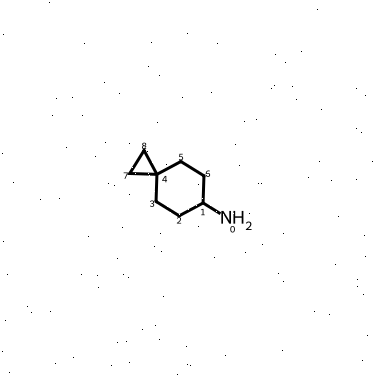 NC1CCC2(CC1)CC2